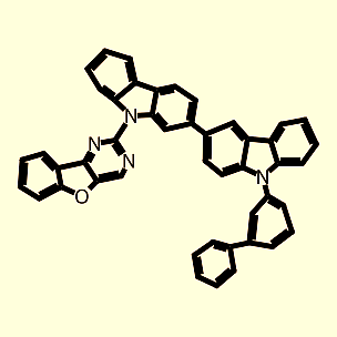 c1ccc(-c2cccc(-n3c4ccccc4c4cc(-c5ccc6c7ccccc7n(-c7ncc8oc9ccccc9c8n7)c6c5)ccc43)c2)cc1